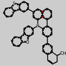 CC1CC=Cc2ccc(-c3ccc(-c4ccccc4)c(N(c4cccc(-c5ccc6sc7ccccc7c6c5)c4)c4ccc5c(c4)oc4ccccc45)c3)cc21